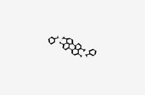 CC(c1ccccc1)N1C(=O)c2ccc3c4ccc5c6c(ccc(c7ccc(c2c37)C1=O)c64)C(=O)N(C(C)c1ccccc1)C5=O